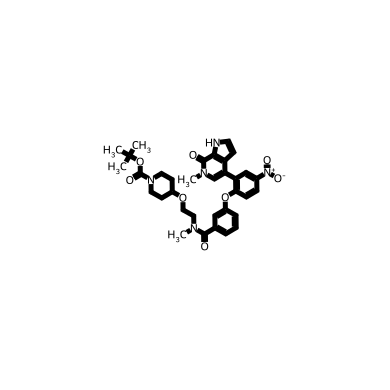 CN(CCOC1CCN(C(=O)OC(C)(C)C)CC1)C(=O)c1cccc(Oc2ccc([N+](=O)[O-])cc2-c2cn(C)c(=O)c3[nH]ccc23)c1